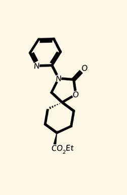 CCOC(=O)[C@H]1CC[C@]2(CC1)CN(c1ccccn1)C(=O)O2